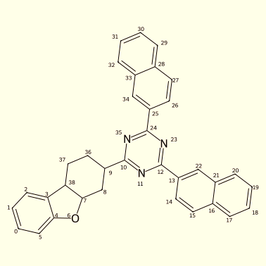 c1ccc2c(c1)OC1CC(c3nc(-c4ccc5ccccc5c4)nc(-c4ccc5ccccc5c4)n3)CCC21